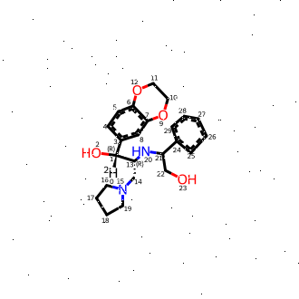 [2H][C@@](O)(c1ccc2c(c1)OCCO2)[C@@H](CN1CCCC1)NC(CO)c1ccccc1